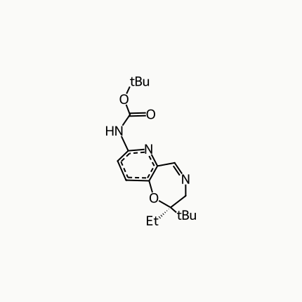 CC[C@@]1(C(C)(C)C)CN=Cc2nc(NC(=O)OC(C)(C)C)ccc2O1